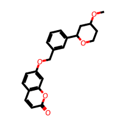 COC1CCOC(c2cccc(COc3ccc4ccc(=O)oc4c3)c2)C1